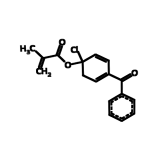 C=C(C)C(=O)OC1(Cl)C=CC(C(=O)c2ccccc2)=CC1